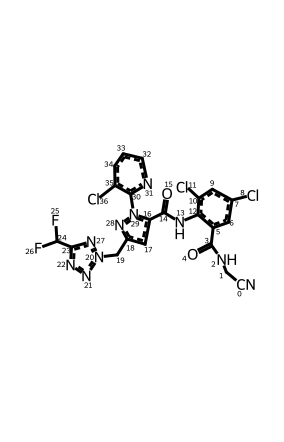 N#CCNC(=O)c1cc(Cl)cc(Cl)c1NC(=O)c1cc(Cn2nnc(C(F)F)n2)nn1-c1ncccc1Cl